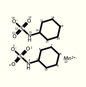 O=S(=O)([O-])NC1CCCCC1.O=S(=O)([O-])NC1CCCCC1.[Mn+2]